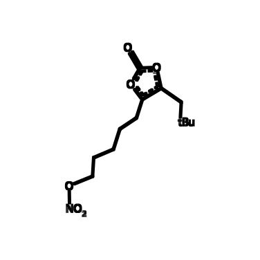 CC(C)(C)Cc1oc(=O)oc1CCCCCO[N+](=O)[O-]